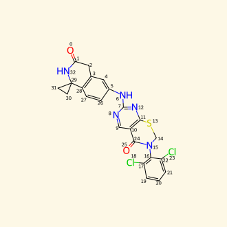 O=C1Cc2cc(Nc3ncc4c(n3)SCN(c3c(Cl)cccc3Cl)C4=O)ccc2C2(CC2)N1